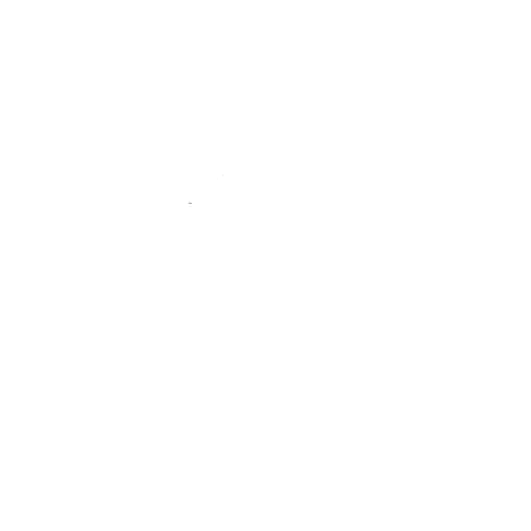 COC(=O)C1(COCc2ccccc2)C2CC3C(C2=O)C31